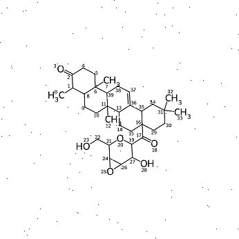 CC1C(=O)CCC2(C)C1CCC1(C)C3CCC4(C(=O)C5OC(CO)C6OC6C5O)CCC(C)(C)CC4C3=CCC12